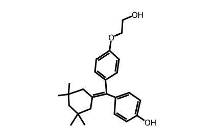 CC1(C)CC(=C(c2ccc(O)cc2)c2ccc(OCCO)cc2)CC(C)(C)C1